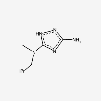 CC(C)CN(C)c1nc(N)n[nH]1